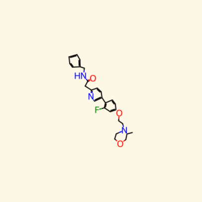 CC1COCCN1CCOc1ccc(-c2ccc(CC(=O)NCc3ccccc3)nc2)c(F)c1